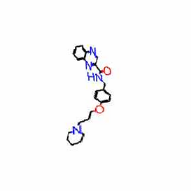 O=C(NCc1ccc(OCCCN2CCCCC2)cc1)c1cnc2ccccc2n1